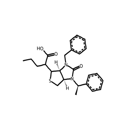 CCCC(C(=O)O)C1SC[C@H]2[C@@H]1N(Cc1ccccc1)C(=O)N2[C@H](C)c1ccccc1